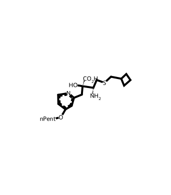 CCCCCOc1ccnc(C[C@](O)(C(=O)O)[C@@H](N)CSCC2CCC2)c1